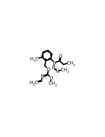 C=C/N=C(\OC)OCc1c(C)cccc1N(/N=N\C)C(=O)CC